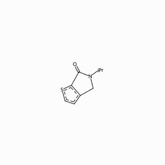 CC(C)N1Cc2ccsc2C1=O